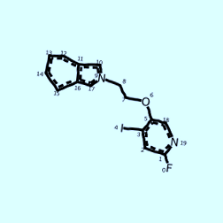 Fc1cc(I)c(OCCn2cc3ccccc3c2)cn1